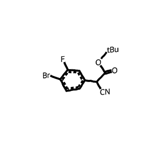 CC(C)(C)OC(=O)C(C#N)c1ccc(Br)c(F)c1